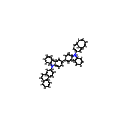 C1=CC2=CC=C(n3c4ccccc4c4cc(-c5ccc6c(c5)c5ccccc5n6-c5ccc6c(ccc7ccccc76)c5)ccc43)C=C(C=C1)C2